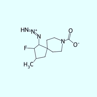 CC1CC2(CCN(C(=O)[O-])CC2)C(N=[N+]=N)C1F